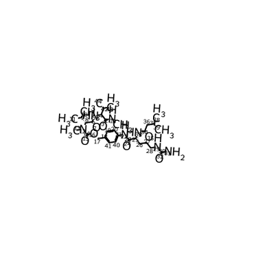 CNC(=O)[C@@H](NC(=O)[C@@H](C(C)C)N(C)C(=O)OCc1ccc(NC(=O)[C@H](CCCNC(N)=O)NC(=O)CC(C)C)cc1)C(C)C